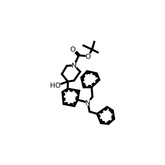 CC(C)(C)OC(=O)N1CCC(O)(c2cccc(N(Cc3ccccc3)Cc3ccccc3)c2)CC1